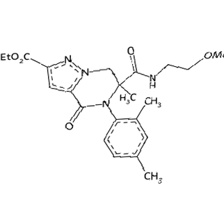 CCOC(=O)c1cc2n(n1)CC(C)(C(=O)NCCOC)N(c1ccc(C)cc1C)C2=O